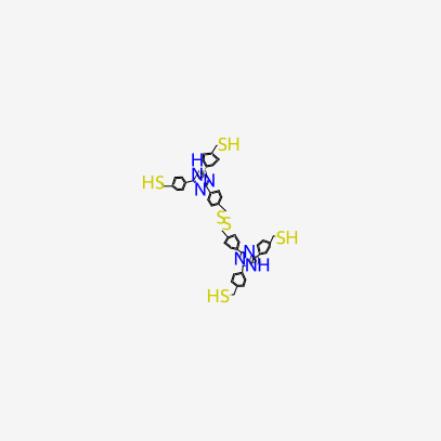 C[C@@]1(c2ccc(CS)cc2)N=C(c2ccc(CSSCc3ccc(C4=N[C@@H](c5ccc(CS)cc5)NC(c5ccc(CS)cc5)=N4)cc3)cc2)N=C(c2ccc(CS)cc2)N1